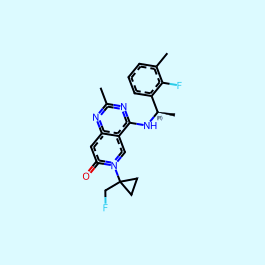 Cc1nc(N[C@H](C)c2cccc(C)c2F)c2cn(C3(CF)CC3)c(=O)cc2n1